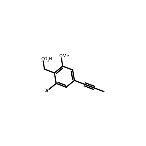 CC#Cc1cc(Br)c(CC(=O)O)c(OC)c1